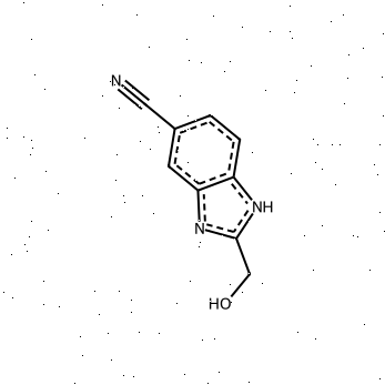 N#Cc1ccc2[nH]c(CO)nc2c1